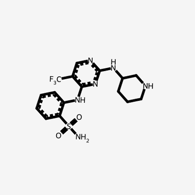 NS(=O)(=O)c1ccccc1Nc1nc(NC2CCCNC2)ncc1C(F)(F)F